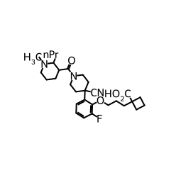 CCCC1C(C(=O)N2CCC(C#N)(c3cccc(F)c3OCCCC3(C(=O)O)CCC3)CC2)CCCN1C